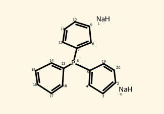 [NaH].[NaH].c1ccc(P(c2ccccc2)c2ccccc2)cc1